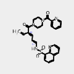 C=C/C(=C\C=C\NS(=O)(=O)c1cccc2cccnc12)C(=O)N1CCN(C(=O)c2ccccn2)CC1